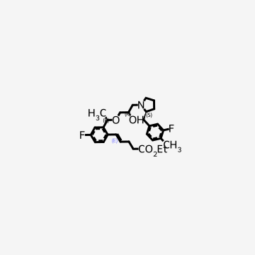 CCOC(=O)CC/C=C/c1ccc(F)cc1[C@@H](C)OC[C@H](O)CN1CCC[C@H]1Cc1ccc(C)c(F)c1